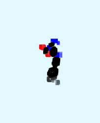 NCCN1C(=O)COc2cc(Nc3ccc(C4=CCC(C(F)(F)F)C=C4)cc3)ccc21